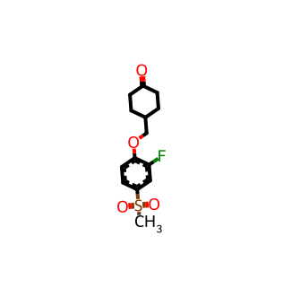 CS(=O)(=O)c1ccc(OCC2CCC(=O)CC2)c(F)c1